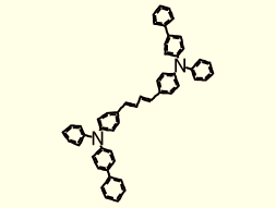 C(C=Cc1ccc(N(c2ccccc2)c2ccc(-c3ccccc3)cc2)cc1)=Cc1ccc(N(c2ccccc2)c2ccc(-c3ccccc3)cc2)cc1